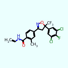 C=CNC(=O)c1ccc(C2=NOC(c3cc(Cl)c(F)c(Cl)c3)(C(F)(F)F)C2)cc1C